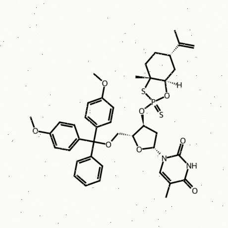 C=C(C)[C@H]1CC[C@@]2(C)SP(=S)(O[C@H]3C[C@H](n4cc(C)c(=O)[nH]c4=O)O[C@@H]3COC(c3ccccc3)(c3ccc(OC)cc3)c3ccc(OC)cc3)O[C@@H]2C1